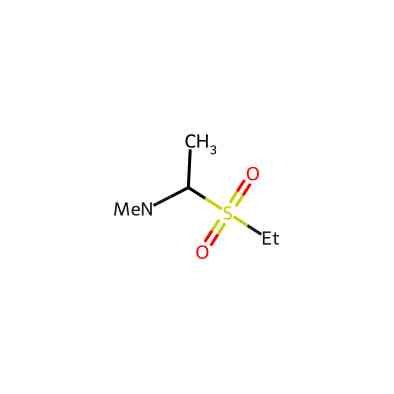 CCS(=O)(=O)C(C)NC